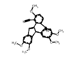 COc1ccc(C2C(c3c(C#N)ccc(OC)c3C#N)=Cc3cc(OC)c(OC)cc32)cc1OC